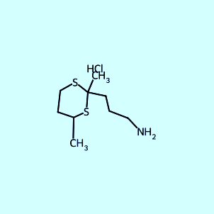 CC1CCSC(C)(CCCN)S1.Cl